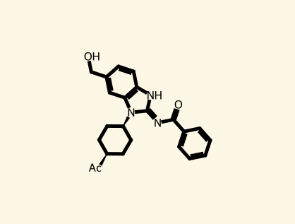 CC(=O)[C@H]1CC[C@@H](n2/c(=N/C(=O)c3ccccc3)[nH]c3ccc(CO)cc32)CC1